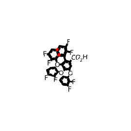 O=C(O)c1cc(Oc2cccc(F)c2F)c(Oc2cccc(F)c2F)c(Oc2cccc(F)c2F)c1-c1cccc(F)c1F